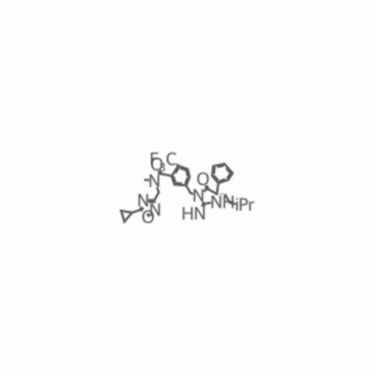 CC(C)CC[C@]1(c2ccccc2)NC(=N)N(Cc2ccc(C(F)(F)F)c(C(=O)N(C)Cc3noc(C4CC4)n3)c2)C1=O